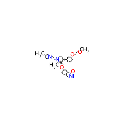 COCCOc1cccc([C@@H]2CCN(CCn3ccc(C)c3)[C@H](C)[C@H]2COc2ccc3c(c2)C(=O)NC3)c1